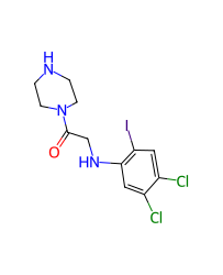 O=C(CNc1cc(Cl)c(Cl)cc1I)N1CCNCC1